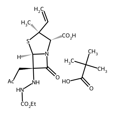 C=C[C@]1(C)S[C@H]2N(C(=O)[C@]2(CC(C)=O)NNC(=O)OCC)[C@H]1C(=O)O.CC(C)(C)C(=O)O